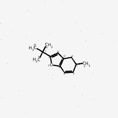 CC1C=Cc2oc(C(C)(C)C)cc2C1